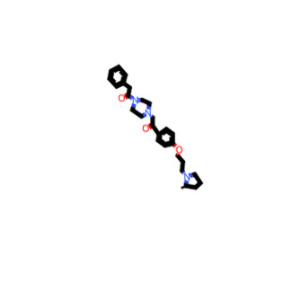 C[C@@H]1CCCN1CCCOc1ccc(C(=O)CN2CCN(C(=O)Cc3ccccc3)CC2)cc1